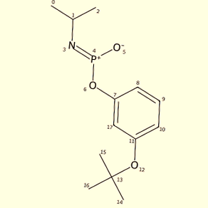 CC(C)/N=[P+](\[O-])Oc1cccc(OC(C)(C)C)c1